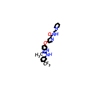 Cn1c(Nc2cccc(C(F)(F)F)c2)nc2cc(Oc3ccnc(C(=O)NCCN4CCCCC4)c3)ccc21